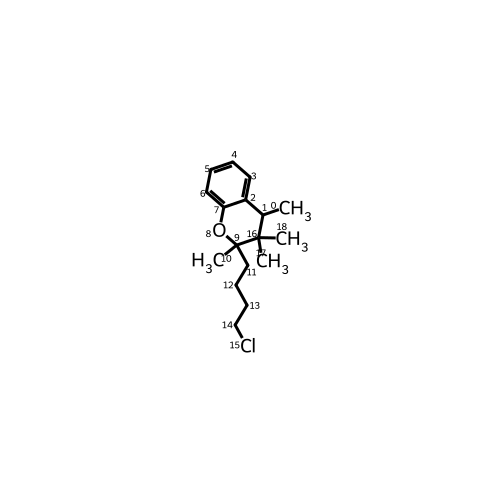 CC1c2ccccc2OC(C)(CCCCCl)C1(C)C